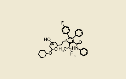 CC(C)c1c(C(=O)Nc2ccccc2)c(-c2ccccc2)c(-c2ccc(F)cc2)n1CCC1C[C@@H](O)CC(OC2CCCCC2)O1